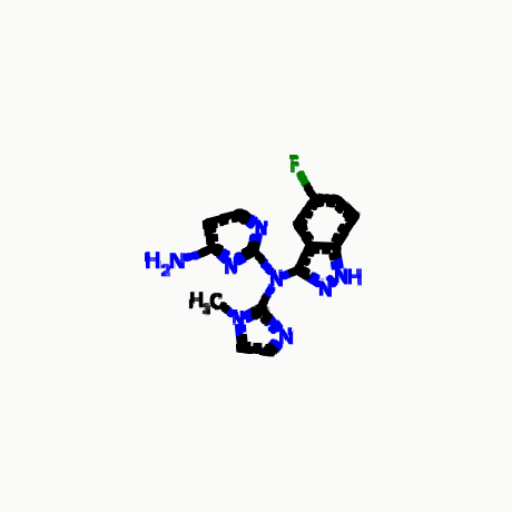 Cn1ccnc1N(c1nccc(N)n1)c1n[nH]c2ccc(F)cc12